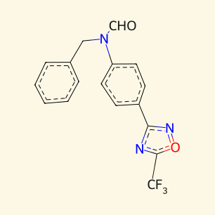 O=CN(Cc1ccccc1)c1ccc(-c2noc(C(F)(F)F)n2)cc1